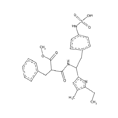 CCc1nc(C(Cc2ccc(NS(=O)(=O)O)cc2)NC(=O)C(Cc2ccccc2)C(=O)OC)sc1C